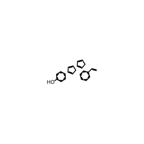 C1=CCC=C1.C1=CCC=C1.C=Cc1ccccc1.Oc1ccccc1